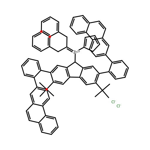 CC(C)(C)c1cc2c(cc1-c1ccccc1-c1ccc3c(ccc4ccccc43)c1)[CH]([Zr+2]([C]1=CC=CC1)=[C](Cc1ccccc1)Cc1ccccc1)c1cc(-c3ccccc3-c3ccc4c(ccc5ccccc54)c3)c(C(C)(C)C)cc1-2.[Cl-].[Cl-]